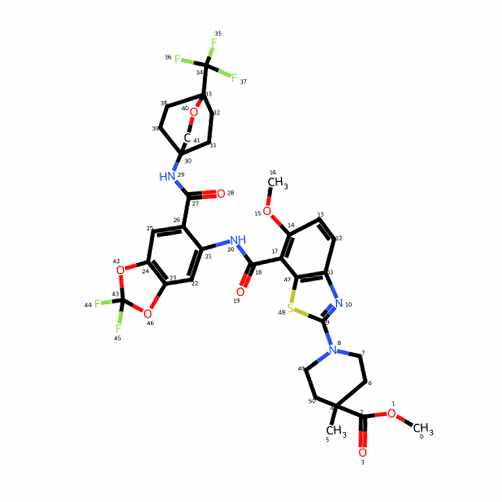 COC(=O)C1(C)CCN(c2nc3ccc(OC)c(C(=O)Nc4cc5c(cc4C(=O)NC46CCC(C(F)(F)F)(CC4)OC6)OC(F)(F)O5)c3s2)CC1